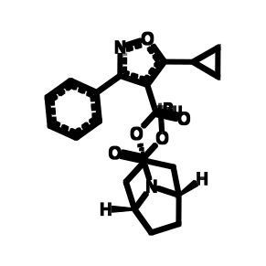 CC(C)(C)OC(=O)N1[C@@H]2CC[C@H]1C[C@@H](OC(=O)c1c(-c3ccccc3)noc1C1CC1)C2